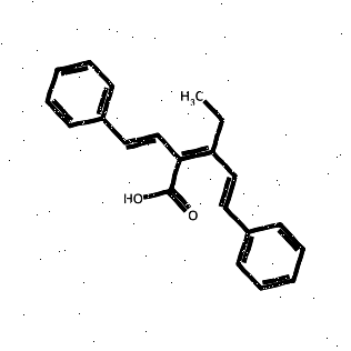 CCC(C=Cc1ccccc1)=C(C=Cc1ccccc1)C(=O)O